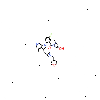 Cc1cncc2c1c(CC1CN(CC3CCOCC3)C1)cn2-c1ccc(F)cc1C(=O)N1C[C@H](O)C[C@@H]1C